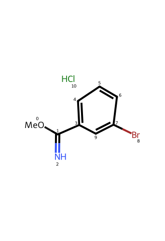 COC(=N)c1cccc(Br)c1.Cl